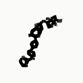 O[C@@H]1CO[C@H]2[C@@H]1OC[C@H]2Oc1cc2nc(-c3ccc(-c4ccc(NC5=NCCO5)cc4)cc3)c(F)cc2[nH]1